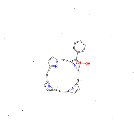 Oc1c(-c2ccccc2)c2cc3nc(cc4ccc(cc5nc(cc1n2O)C=C5)[nH]4)C=C3